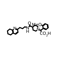 COc1ccccc1C(C(=O)O)N1CCC(C(=O)NCCCc2ccc3c(n2)CCCC3)CC1